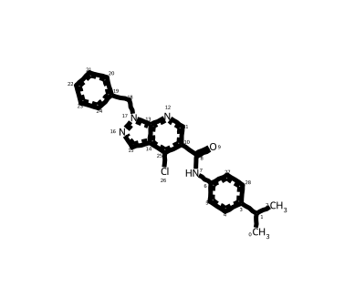 CC(C)c1ccc(NC(=O)c2cnc3c(cnn3Cc3ccccc3)c2Cl)cc1